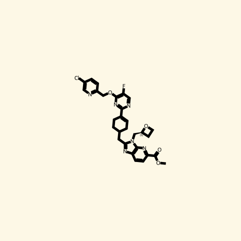 COC(=O)c1ccc2nc(CC3CC=C(c4ncc(F)c(OCc5ccc(Cl)cn5)n4)CC3)n(C[C@@H]3CCO3)c2n1